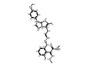 CNC(=O)/C(=N/OC)c1c(C)cccc1CON=CCC1=C(C)SC2N1N=CN2c1ccc(OC)cc1